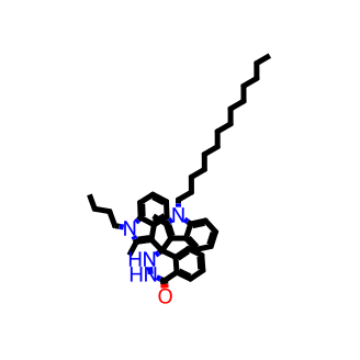 CCCCCCCCCCCCCCn1c(C)c(C2(c3c(C)n(CCCC)c4ccccc34)NNC(=O)c3ccccc32)c2ccccc21